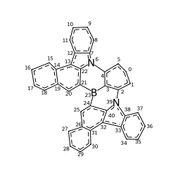 c1cc2c3c(c1)-n1c4ccccc4c4c5ccccc5cc(c41)B3c1cc3ccccc3c3c4ccccc4n-2c13